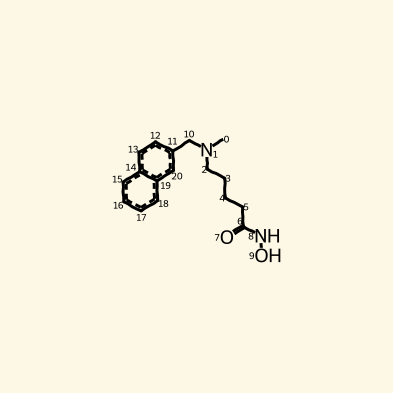 CN(CCCCC(=O)NO)Cc1ccc2ccccc2c1